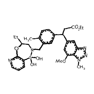 CCOC(=O)CC(c1ccc(C)c(CN2CC(CC)Oc3ncccc3S2(O)O)c1)c1cc(OC)c2c(c1)nnn2C